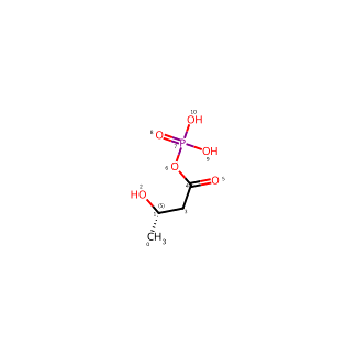 C[C@H](O)CC(=O)OP(=O)(O)O